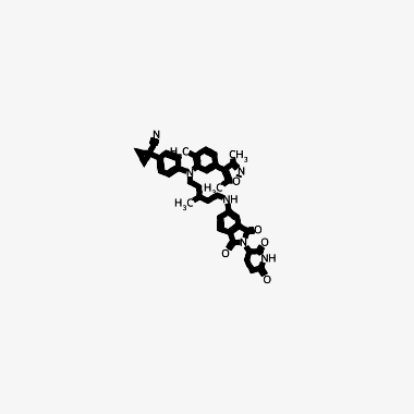 Cc1ccc(-c2c(C)noc2C)cc1N(CCC(C)CCNc1ccc2c(c1)C(=O)N(C1CCC(=O)NC1=O)C2=O)c1ccc(C2(C#N)CC2)cc1